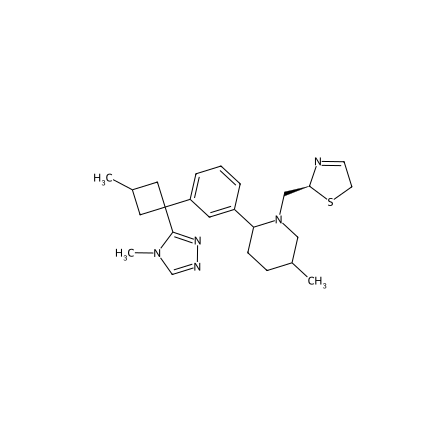 CC1CCC(c2cccc(C3(c4nncn4C)CC(C)C3)c2)N(C[C@H]2N=CCS2)C1